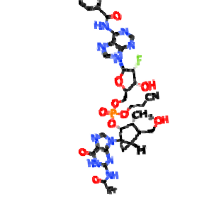 CC(C)C(=O)Nc1nc2c(ncn2C23C[C@H]2[C@H](CO)[C@@H](C)[C@H]3OP(=O)(OCCC#N)OC[C@H]2O[C@@H](n3cnc4c(NC(=O)c5ccccc5)ncnc43)[C@H](F)[C@@H]2O)c(=O)[nH]1